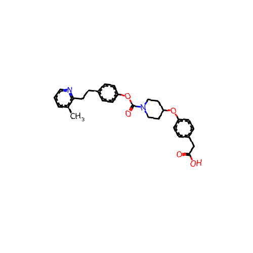 Cc1cccnc1CCc1ccc(OC(=O)N2CCC(Oc3ccc(CC(=O)O)cc3)CC2)cc1